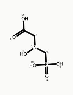 O=C(O)CN(O)CP(=O)(O)O